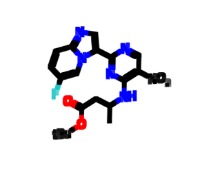 CC(CC(=O)OC(C)(C)C)Nc1nc(-c2cnc3ccc(F)cn23)ncc1[N+](=O)[O-]